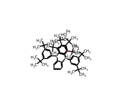 CC(C)(C)c1cc(P(c2cc(C(C)(C)C)cc(C(C)(C)C)c2)c2ccccc2P(c2cc(C(C)(C)C)cc(C(C)(C)C)c2)c2cc(C(C)(C)C)cc(C(C)(C)C)c2)cc(C(C)(C)C)c1.Cl.[Fe]